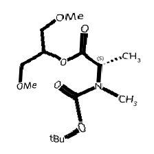 COCC(COC)OC(=O)[C@H](C)N(C)C(=O)OC(C)(C)C